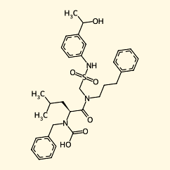 CC(C)C[C@@H](C(=O)N(CCCc1ccccc1)CS(=O)(=O)Nc1cccc(C(C)O)c1)N(Cc1ccccc1)C(=O)O